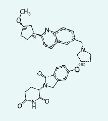 CO[C@@H]1CC[C@H](c2ccc3cc(CN4CC[C@H](Oc5ccc6c(c5)CN(C5CCC(=O)NC5=O)C6=O)C4)ccc3n2)C1